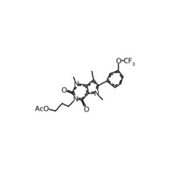 CC(=O)OCCCn1c(=O)c2c(c(C)c(-c3cccc(OC(F)(F)F)c3)n2C)n(C)c1=O